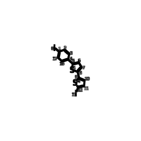 Ic1ccc(-c2ccc(-c3ccc(I)s3)s2)cc1